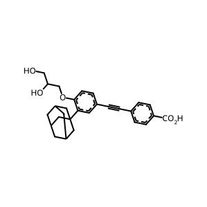 O=C(O)c1ccc(C#Cc2ccc(OCC(O)CO)c(C34CC5CC(CC(C5)C3)C4)c2)cc1